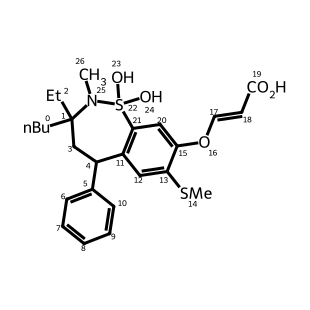 CCCCC1(CC)CC(c2ccccc2)c2cc(SC)c(O/C=C/C(=O)O)cc2S(O)(O)N1C